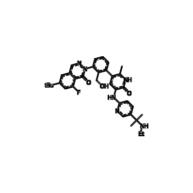 CCNC(C)(C)c1ccc(Nc2cc(-c3cccc(-n4ncc5cc(C(C)(C)C)cc(F)c5c4=O)c3CO)c(C)[nH]c2=O)nc1